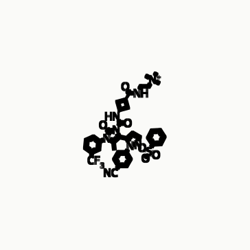 Cc1c(-c2ccnn2-c2ccc(C#N)cc2)n(C(=O)N[C@H]2C[C@H](C(=O)NCC[N+](C)(C)C)C2)c(=O)n1-c1cccc(C(F)(F)F)c1.O=S(=O)([O-])c1ccccc1